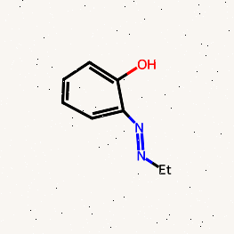 CCN=Nc1ccccc1O